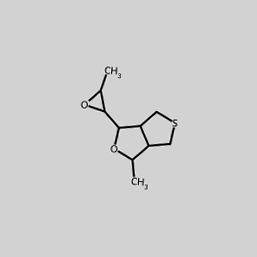 CC1OC(C2OC2C)C2CSCC12